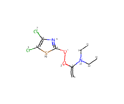 C=C(OOc1nc(Cl)c(Cl)s1)N(CC)CC